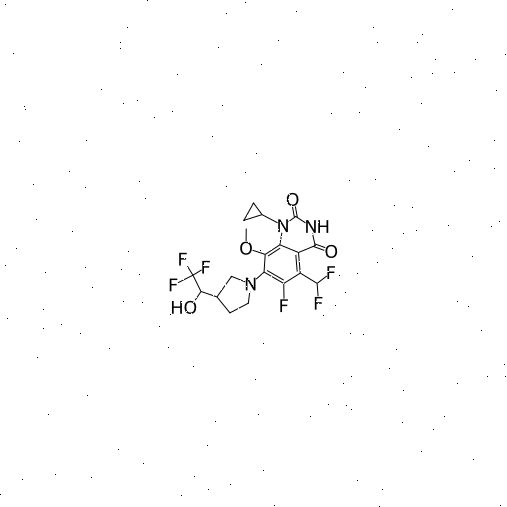 COc1c(N2CCC(C(O)C(F)(F)F)C2)c(F)c(C(F)F)c2c(=O)[nH]c(=O)n(C3CC3)c12